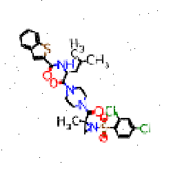 CC(C)C[C@H](NC(=O)c1cc2ccccc2s1)C(=O)N1CCN(C(=O)[C@@]2(C)CN2S(=O)(=O)c2ccc(Cl)cc2Cl)CC1